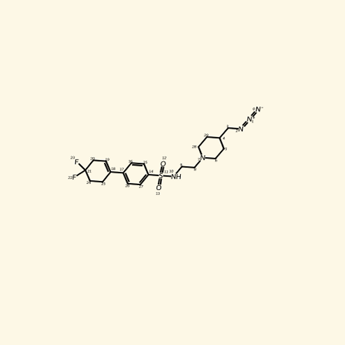 [N-]=[N+]=NCC1CCN(CCNS(=O)(=O)c2ccc(C3=CCC(F)(F)CC3)cc2)CC1